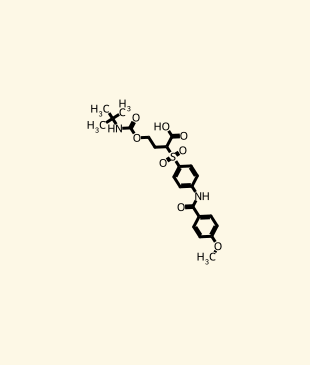 COc1ccc(C(=O)Nc2ccc(S(=O)(=O)C(CCOC(=O)NC(C)(C)C)C(=O)O)cc2)cc1